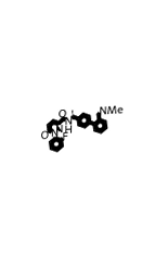 CNCc1ccccc1-c1ccc([C@@H](C)NC(=O)c2ccc(=O)n(-c3ccccc3F)n2)cc1